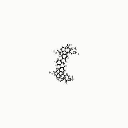 CC[C@@H](C(=O)N1CCC[C@@]1(C(N)=O)c1ccc(CN(Cc2ccc([C@]3(C(N)=O)CCCN3C(=O)[C@H](CC)N(C)C(=O)O)cc2)c2ccccc2)cc1)N(C)C(=O)O